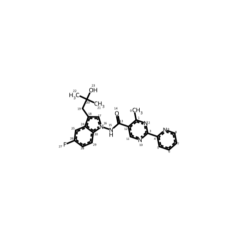 Cc1nc(-c2ccccn2)ncc1C(=O)Nn1cc(CC(C)(C)O)c2cc(F)ccc21